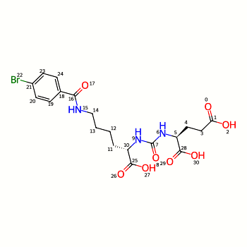 O=C(O)CC[C@H](NC(=O)N[C@@H](CCCCNC(=O)c1ccc(Br)cc1)C(=O)O)C(=O)O